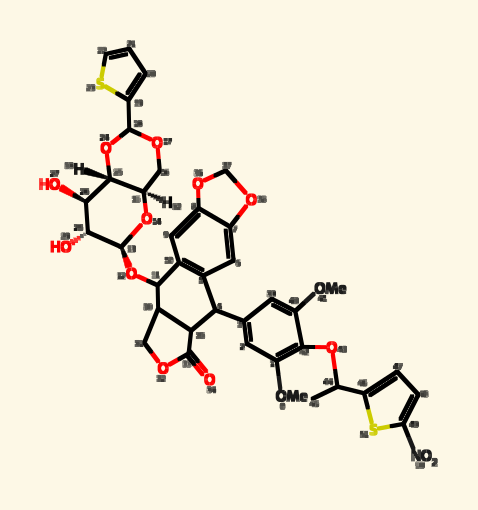 COc1cc(C2c3cc4c(cc3C(O[C@@H]3O[C@@H]5COC(c6cccs6)O[C@H]5[C@H](O)[C@H]3O)C3COC(=O)C23)OCO4)cc(OC)c1OC(C)c1ccc([N+](=O)[O-])s1